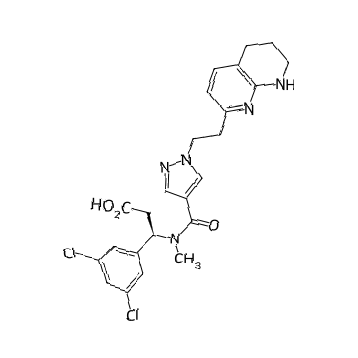 CN(C(=O)c1cnn(CCc2ccc3c(n2)NCCC3)c1)[C@H](CC(=O)O)c1cc(Cl)cc(Cl)c1